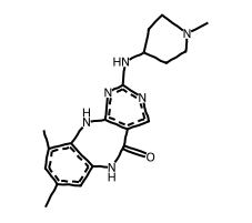 Cc1cc(C)c2c(c1)NC(=O)c1cnc(NC3CCN(C)CC3)nc1N2